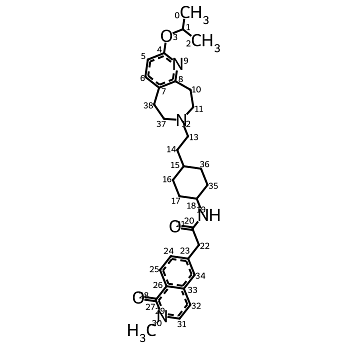 CC(C)Oc1ccc2c(n1)CCN(CCC1CCC(NC(=O)Cc3ccc4c(=O)n(C)ccc4c3)CC1)CC2